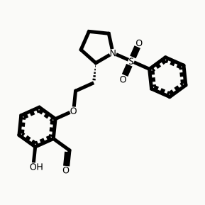 O=Cc1c(O)cccc1OCC[C@@H]1CCCN1S(=O)(=O)c1ccccc1